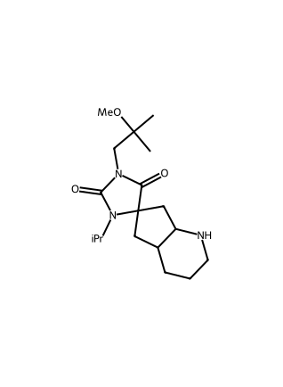 COC(C)(C)CN1C(=O)N(C(C)C)C2(CC3CCCNC3C2)C1=O